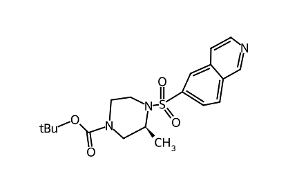 C[C@H]1CN(C(=O)OC(C)(C)C)CCN1S(=O)(=O)c1ccc2cnccc2c1